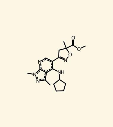 COC(=O)C1(C)CC(c2cnc3c(c(C)nn3C)c2NC2CCCC2)=NO1